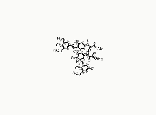 CON(C)C(=O)Nc1ccc(Br)c(Cl)c1.CON(C)C(=O)Nc1ccc(Br)c(Cl)c1.Nc1cc(Cl)cc(C(=O)O)c1Cl.Nc1cc(Cl)cc(C(=O)O)c1Cl